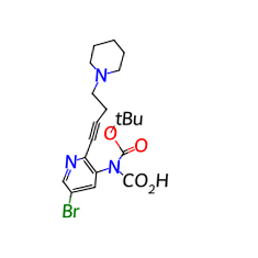 CC(C)(C)OC(=O)N(C(=O)O)c1cc(Br)cnc1C#CCCN1CCCCC1